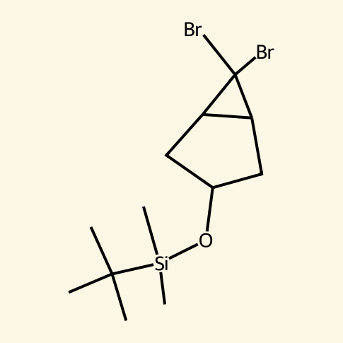 CC(C)(C)[Si](C)(C)OC1CC2C(C1)C2(Br)Br